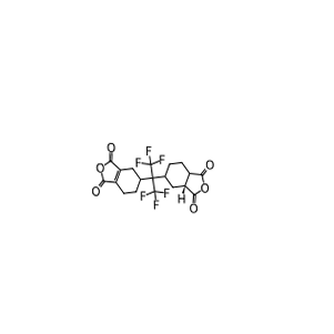 O=C1OC(=O)C2=C1CCC(C(C1CCC3C(=O)OC(=O)[C@@H]3C1)(C(F)(F)F)C(F)(F)F)C2